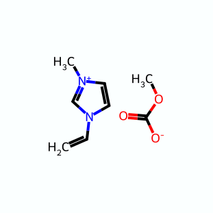 C=Cn1cc[n+](C)c1.COC(=O)[O-]